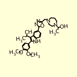 COc1ccc(-c2[nH]c3ccc(-c4nnc(CN5CCCN(C(C)O)CC5)o4)cc3c2C(C)C)cc1OC